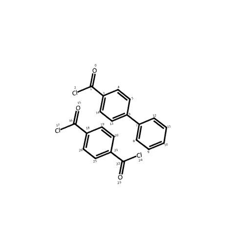 O=C(Cl)c1ccc(-c2ccccc2)cc1.O=C(Cl)c1ccc(C(=O)Cl)cc1